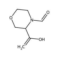 C=C(O)C1COCCN1C=O